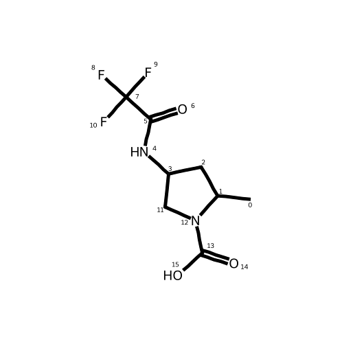 CC1CC(NC(=O)C(F)(F)F)CN1C(=O)O